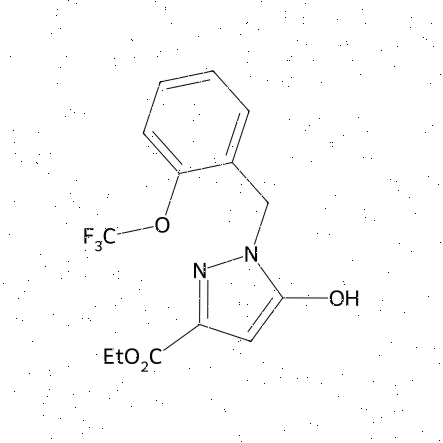 CCOC(=O)c1cc(O)n(Cc2ccccc2OC(F)(F)F)n1